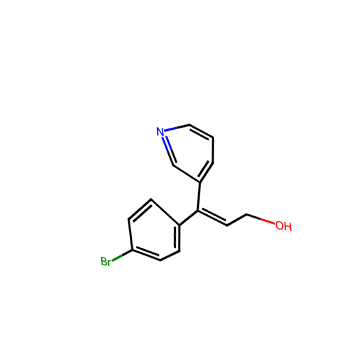 OCC=C(c1ccc(Br)cc1)c1cccnc1